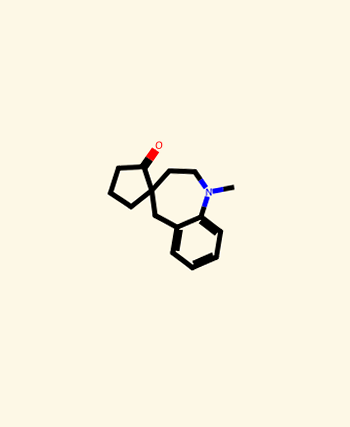 CN1CCC2(CCCC2=O)Cc2ccccc21